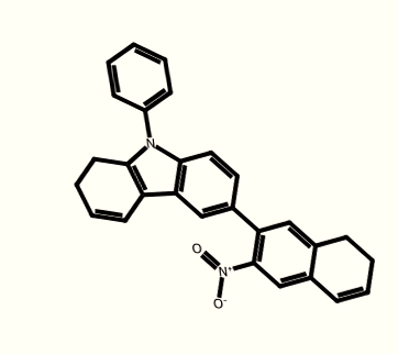 O=[N+]([O-])c1cc2c(cc1-c1ccc3c(c1)c1c(n3-c3ccccc3)CCC=C1)CCC=C2